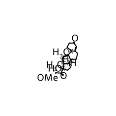 COCC(=O)[C@@]1(O)CC[C@H]2[C@@H]3CCC4=CC(=O)CC[C@]4(C)C3=CC[C@@]21C